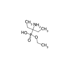 CCOP(=O)(O)C(N)(CC)CC